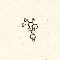 CN1CCN(c2nc3c(Br)c(Br)c(Br)c4c3n2CCC4)CC1